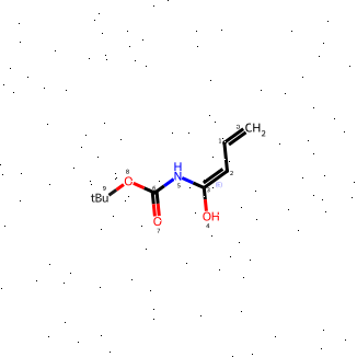 C=C/C=C(/O)NC(=O)OC(C)(C)C